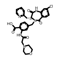 O=C(CN1CCOCC1)Nc1cc(CN2C(=O)c3ccc(Cl)cc3NC(=O)[C@H]2Cc2ccccn2)ccc1C(=O)O